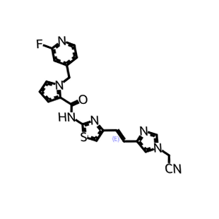 N#CCn1cnc(/C=C/c2csc(NC(=O)c3cccn3Cc3ccnc(F)c3)n2)c1